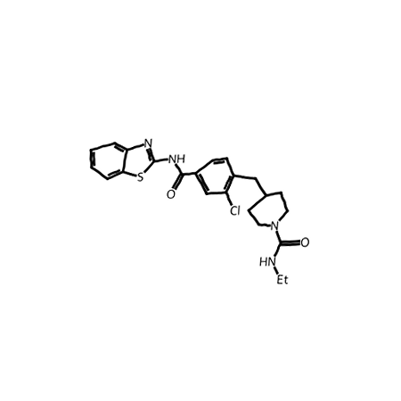 CCNC(=O)N1CCC(Cc2ccc(C(=O)Nc3nc4ccccc4s3)cc2Cl)CC1